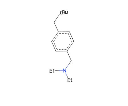 CCN(CC)Cc1ccc(CC(C)(C)C)cc1